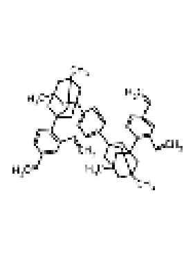 C=Cc1ccc(C23CC4(C)CC(C)(CC(c5ccc(C67CC8(C)CC(C)(C6)CC(c6ccc(C=C)cc6C=C)(C8)C7)cc5)(C4)C2)C3)c(C=C)c1